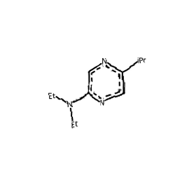 CCN(CC)c1cnc(C(C)C)cn1